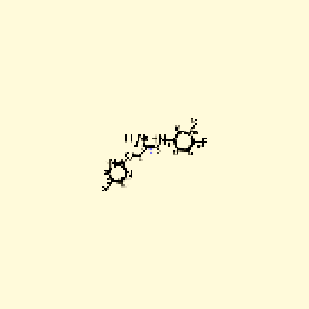 Cc1cnc(OC/C(N)=C/Nc2ccc(F)c(C)c2)nc1